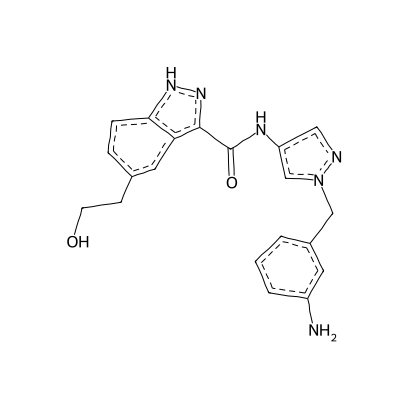 Nc1cccc(Cn2cc(NC(=O)c3n[nH]c4ccc(CCO)cc34)cn2)c1